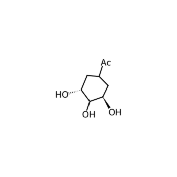 CC(=O)C1C[C@@H](O)C(O)[C@H](O)C1